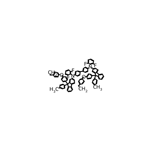 C=Cc1ccc(Oc2ccc(C3(c4ccc(C)cc4)c4ccccc4-c4ccc(N(c5ccc(-c6ccc(N(c7ccc8c(c7)C(c7ccc(C)cc7)(c7ccc(Oc9ccc(C=C)cc9)cc7)c7ccccc7-8)c7c(F)cccc7F)cc6)cc5)c5c(F)cccc5F)cc43)cc2)cc1